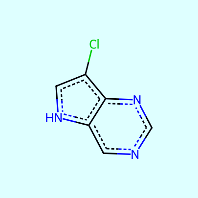 Clc1c[nH]c2cncnc12